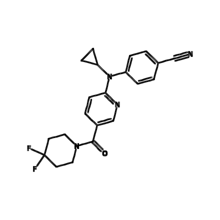 N#Cc1ccc(N(c2ccc(C(=O)N3CCC(F)(F)CC3)cn2)C2CC2)cc1